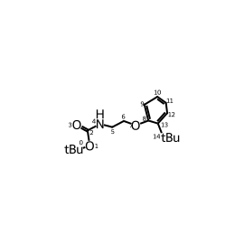 CC(C)(C)OC(=O)NCCOc1ccccc1C(C)(C)C